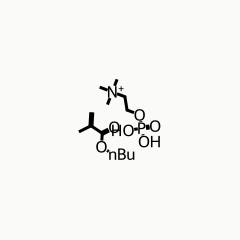 C=C(C)C(=O)OCCCC.C[N+](C)(C)CCOP(=O)(O)O